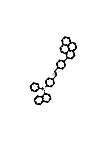 C(=C\c1ccc(N(c2ccccc2)c2cccc3ccccc23)cc1)/c1ccc(-c2ccc3ccc4cccc5ccc2c3c45)cc1